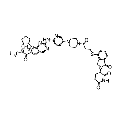 CN(C)C(=O)c1cc2cnc(Nc3ccc(N4CCN(C(=O)CCSc5cccc6c5CN(C5CCC(=O)NC5=O)C6=O)CC4)cn3)nc2n1C1CCCC1